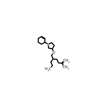 C=C(C)CCC(CCC)COC1CCN(C2C=CCCC2)C1